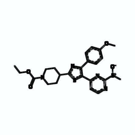 CCOC(=O)N1CCC(c2nc(-c3ccc(OC)cc3)c(-c3ccnc([S+](C)[O-])n3)s2)CC1